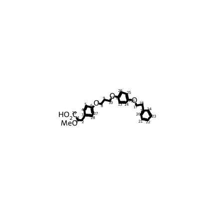 COC(Cc1ccc(OCCCOc2ccc(OCCc3ccccc3)cc2)cc1)C(=O)O